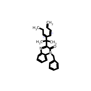 C=C/C=C\C(=C/CC)C(C)(C)c1nc2ccccc2n(Cc2ccccc2)c1=O